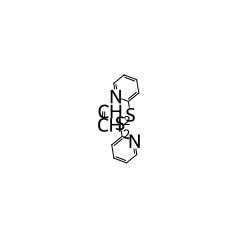 C=C.c1ccc(SSc2ccccn2)nc1